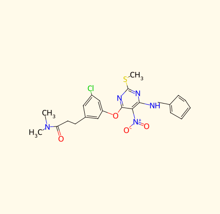 CSc1nc(NCc2ccccc2)c([N+](=O)[O-])c(Oc2cc(Cl)cc(CCC(=O)N(C)C)c2)n1